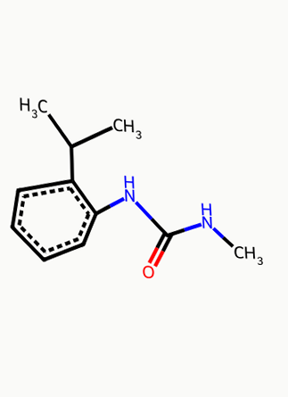 CNC(=O)Nc1ccccc1C(C)C